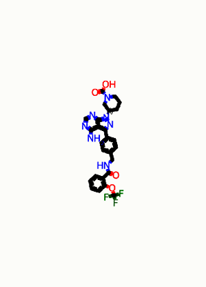 Nc1ncnc2c1c(-c1ccc(CNC(=O)c3ccccc3OC(F)(F)F)cc1)nn2[C@@H]1CCCN(C(=O)O)C1